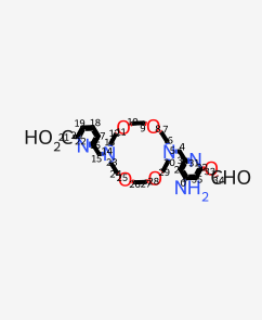 Nc1cc(CN2CCOCCOCCN(Cc3cccc(C(=O)O)n3)CCOCCOCC2)nc(OC=O)c1